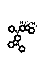 CC1(C)C2=C(C=CCC2)c2cc(N(c3ccccc3)c3ccc4c(c3)c3ccccc3n4-c3ccccc3)ccc21